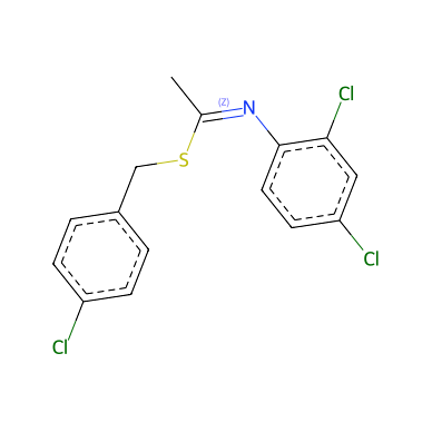 C/C(=N/c1ccc(Cl)cc1Cl)SCc1ccc(Cl)cc1